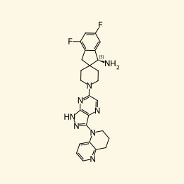 N[C@@H]1c2cc(F)cc(F)c2CC12CCN(c1cnc3c(N4CCCc5ncccc54)n[nH]c3n1)CC2